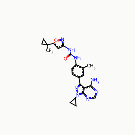 Cc1cc(-c2nn(C3CC3)c3ncnc(N)c23)ccc1NC(=O)Nc1cc(C2(C(F)(F)F)CC2)on1